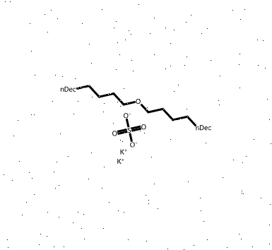 CCCCCCCCCCCCCCOCCCCCCCCCCCCCC.O=S(=O)([O-])[O-].[K+].[K+]